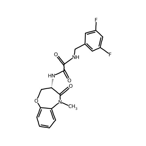 CN1C(=O)[C@@H](NC(=O)C(=O)NCc2cc(F)cc(F)c2)COc2ccccc21